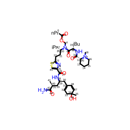 CCCC(=O)OCN(C(=O)[C@@H](NC(=O)[C@H]1CCCCN1C)C(C)CC)[C@H](CCc1nc(C(=O)N[C@@H](CC2=CCC(C)(O)C=C2)C[C@H](C)C(N)=O)cs1)C(C)C